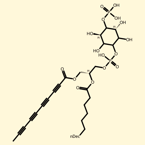 CC#CC#CC#CC#CC(=O)OC[C@H](COP(=O)(O)OC1C(O)[C@@H](O)C(OP(=O)(O)O)[C@H](O)C1O)OC(=O)CCCCCCCCCCCCCCC